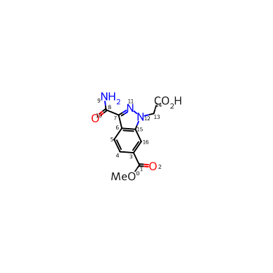 COC(=O)c1ccc2c(C(N)=O)nn(CC(=O)O)c2c1